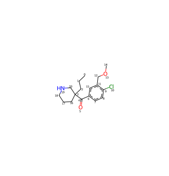 CCCC1(C(=O)c2ccc(Cl)c(COC)c2)CCCNC1